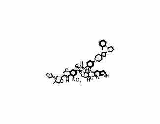 Cc1ccccc1[C@@H]1CCCN1C1CC2(CCN(c3ccc(C(=O)NS(=O)(=O)c4cc5c(c([N+](=O)[O-])c4)N[C@@H]([C@H]4CN(C6COC6)[C@H](C)CO4)CO5)c(N4c5cc6cc[nH]c6nc5O[C@H]5COC[C@@H]54)c3)CC2)C1